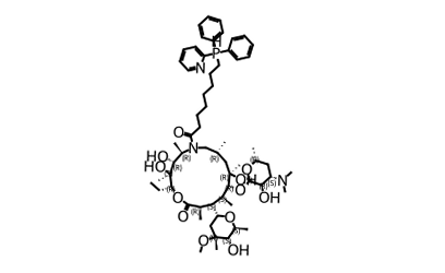 CC[C@H]1OC(=O)[C@H](C)[C@@H](C2C[C@@](C)(OC)[C@@H](O)[C@H](C)O2)[C@H](C)[C@@H](O[C@@H]2O[C@H](C)C[C@H](N(C)C)[C@H]2O)[C@](C)(O)C[C@@H](C)CN(C(=O)CCCCCCC[PH](c2ccccc2)(c2ccccc2)c2ccccn2)[C@H](C)[C@@H](O)[C@]1(C)O